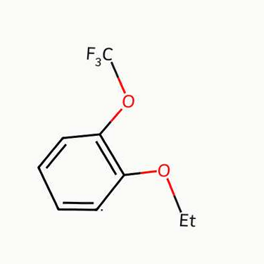 CCOc1[c]cccc1OC(F)(F)F